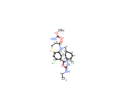 CC(C)(C)OC(=O)N[C@H]1CSc2cc(F)c(-c3nnc(NCC(F)(F)F)o3)cc2N(Cc2ccc(Cl)cc2)C1=O